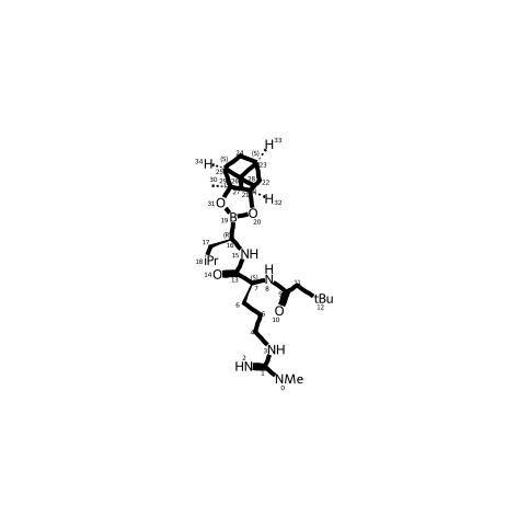 CNC(=N)NCCC[C@H](NC(=O)CC(C)(C)C)C(=O)N[C@@H](CC(C)C)B1O[C@@H]2C[C@@H]3C[C@@H](C3(C)C)[C@]2(C)O1